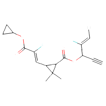 C#CC(OC(=O)C1C(/C=C(\F)C(=O)OC2CC2)C1(C)C)/C(F)=C/CC